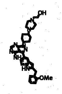 COc1ccccc1Cc1cc2cc(-c3nn(C4CCC(N5CCN(CCO)CC5)CC4)c4ncnc(N)c34)ccc2[nH]1